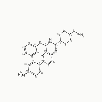 NCC1CCC(C(=O)NC(Cc2ccccc2)c2cc(-c3ccc(N)cc3)ccn2)CC1